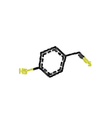 S=Cc1ccc(S)cc1